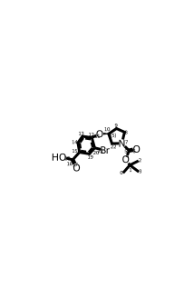 CC(C)(C)OC(=O)N1CC[C@H](Oc2ccc(C(=O)O)cc2Br)C1